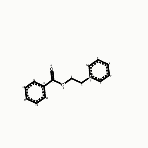 O=C(OCC[n+]1ccccc1)c1ccccc1